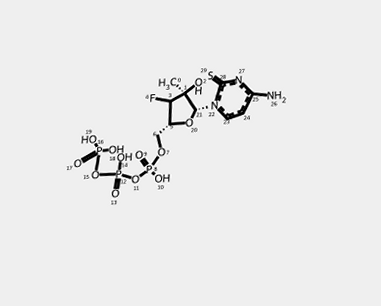 C[C@@]1(O)C(F)[C@@H](COP(=O)(O)OP(=O)(O)OP(=O)(O)O)O[C@H]1n1ccc(N)nc1=S